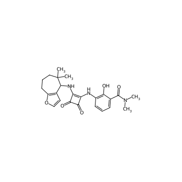 CN(C)C(=O)c1cccc(Nc2c(NC3c4ccoc4CCCC3(C)C)c(=O)c2=O)c1O